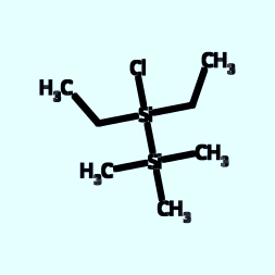 CC[Si](Cl)(CC)[Si](C)(C)C